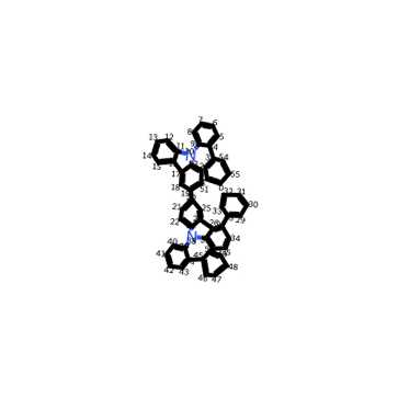 c1ccc(-c2ccccc2-n2c3ccccc3c3cc(-c4ccc5c(c4)c4c(-c6ccccc6)cccc4n5-c4ccccc4-c4ccccc4)ccc32)cc1